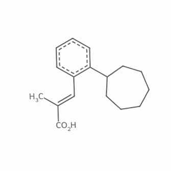 CC(=Cc1ccccc1C1CCCCCC1)C(=O)O